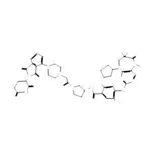 COc1cc(C(=O)N[C@H]2CCN(C(=O)CN3CCN(c4cccc5c4C(=O)N(C4CCC(=O)NC4=O)C5=O)CC3)C2)c(F)cc1Nc1ncc2c(n1)N(C1CCCC1)CC(F)(F)C(=O)N2C